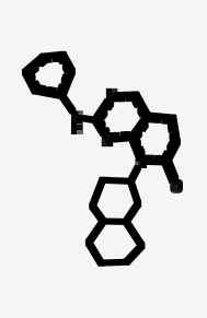 O=c1ccc2cnc(Nc3ccccc3)nc2n1C1CCC2CCCCC2C1